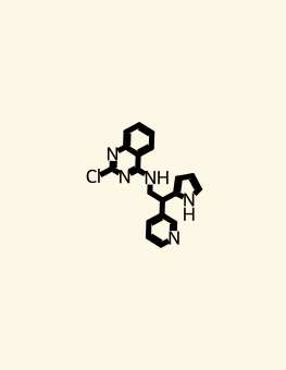 Clc1nc(NCC(c2cccnc2)c2ccc[nH]2)c2ccccc2n1